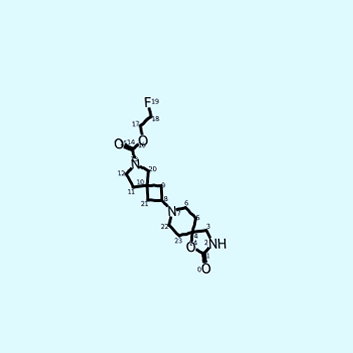 O=C1NCC2(CCN(C3CC4(CCN(C(=O)OCCF)C4)C3)CC2)O1